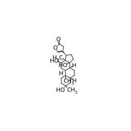 C[C@@]1(O)CC[C@@]2(C)[C@H](CC[C@@H]3[C@@H]2C[C@@H](O)[C@]2(C)[C@@H](C4=COC(=O)C4)CC[C@]32O)C1